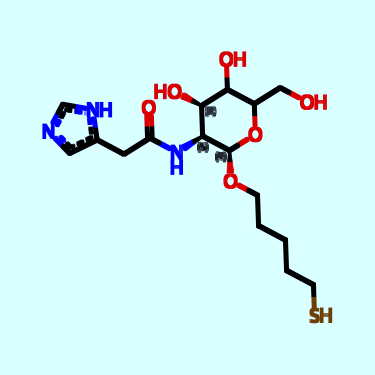 O=C(Cc1cnc[nH]1)N[C@@H]1[C@H](OCCCCCS)OC(CO)C(O)[C@@H]1O